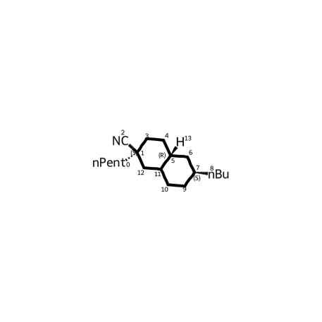 CCCCC[C@]1(C#N)CC[C@@H]2C[C@@H](CCCC)CCC2C1